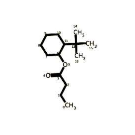 CCCC(=O)OC1CCCCC1C(C)(C)C